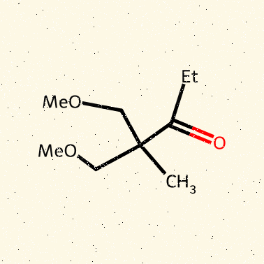 CCC(=O)C(C)(COC)COC